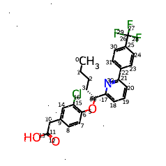 CCCC[C@@H](Oc1ccc(CC(=O)O)cc1Cl)c1cccc(-c2ccc(C(F)(F)F)cc2)n1